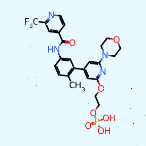 Cc1ccc(NC(=O)c2ccnc(C(F)(F)F)c2)cc1-c1cc(OCCOP(=O)(O)O)nc(N2CCOCC2)c1